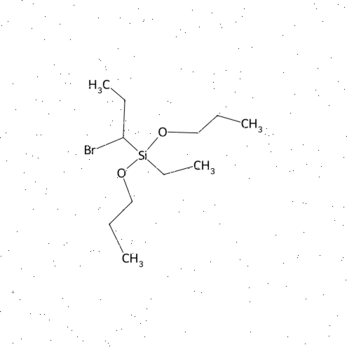 CCCO[Si](CC)(OCCC)C(Br)CC